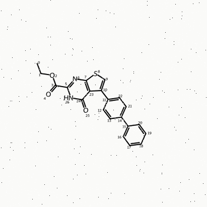 CCOC(=O)c1nc2scc(-c3ccc(-c4ccccc4)cc3)c2c(=O)[nH]1